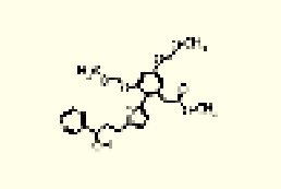 COCOc1cc(CC(=O)OC)c(-c2ccc(CCC(O)c3ccccc3)o2)c(OCOC)c1